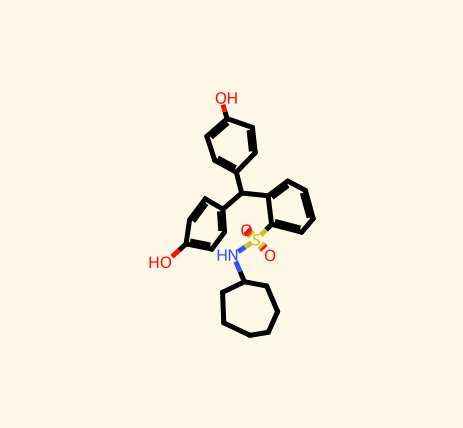 O=S(=O)(NC1CCCCCC1)c1ccccc1C(c1ccc(O)cc1)c1ccc(O)cc1